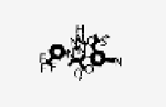 COC(=O)C1=C(C)N(c2cccc(C(F)(F)F)c2)c2n[nH]c(=O)n2[C@@H]1c1ccc(C#N)cc1CC(C)SC